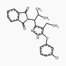 CCc1c(C(C(C)C)N2C(=O)c3ccccc3C2=O)n[nH]c1Oc1cccc(Cl)c1